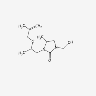 C=C(C)COC(C)CN1C(=O)N(CO)CC1C